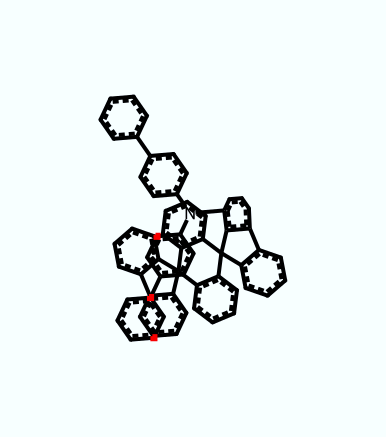 c1ccc(-c2ccc(N(c3ccc(-c4ccccc4)cc3)c3cccc4c3C3(c5ccccc5-4)c4ccccc4C4(c5ccccc5-c5ccccc54)c4ccccc43)cc2)cc1